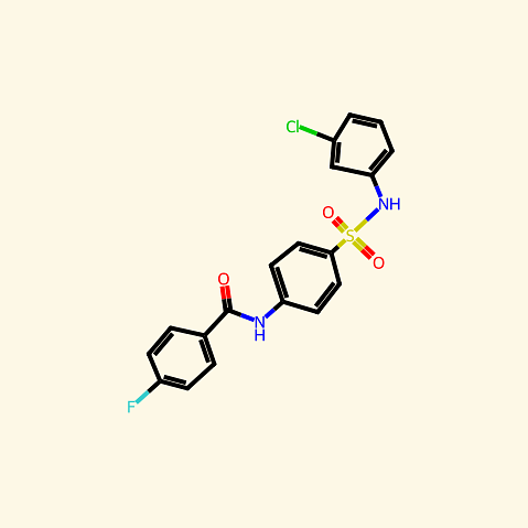 O=C(Nc1ccc(S(=O)(=O)Nc2cccc(Cl)c2)cc1)c1ccc(F)cc1